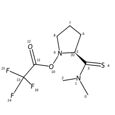 CN(C)C(=S)[C@@H]1CCCN1OC(=O)C(F)(F)F